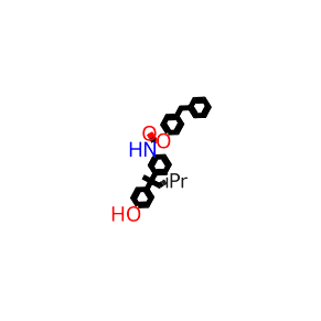 CC(C)CC(C)(c1ccc(O)cc1)c1cccc(NC(=O)Oc2ccc(Cc3ccccc3)cc2)c1